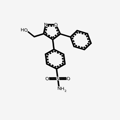 NS(=O)(=O)c1ccc(-c2c(CO)noc2-c2ccccc2)cc1